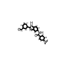 CN(C)c1ccc(C(=O)Nc2ccc3[nH]c(-c4cccc(C=O)c4)nc3c2)cc1